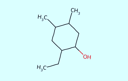 CCC1CC(C)C(C)CC1O